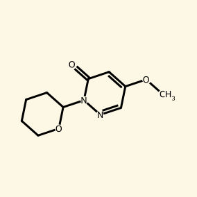 COc1cnn(C2CCCCO2)c(=O)c1